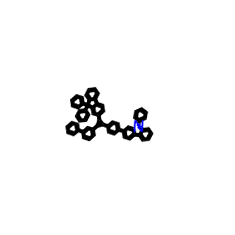 c1ccc(-c2cccc(C3C(c4ccc(-c5ccc6c7ccccc7n(-c7ccccc7)c6c5)cc4)C3c3ccc4c(c3)C(c3ccccc3)(c3ccccc3)c3ccccc3-4)c2)cc1